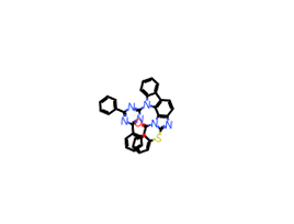 O=c1c2ccccc2sc2nc3ccc4c5ccccc5n(-c5nc(-c6ccccc6)nc(-c6ccccc6)n5)c4c3n12